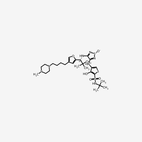 CN1CCN(CCCCc2coc([C@H](Nc3n[s+]([O-])nc3Nc3csc(S(=O)(=O)NC(C)(C)C)c3O)C(C)(C)C)c2)CC1